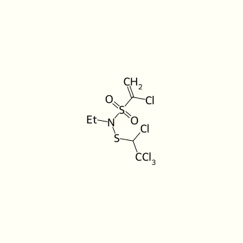 C=C(Cl)S(=O)(=O)N(CC)SC(Cl)C(Cl)(Cl)Cl